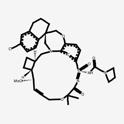 CO[C@H]1C=CCOC(C)(C)C(=O)N=[S@@](=O)(NC(=O)N2CCC2)c2ccc3c(c2)N(C[C@@H]2CC[C@H]21)C[C@@]1(CCCc2cc(Cl)ccc21)CO3